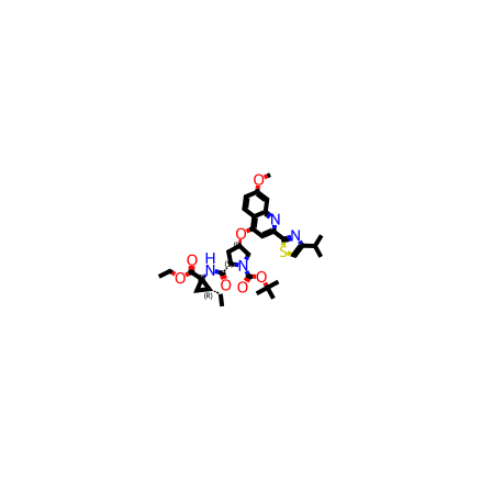 CCOC(=O)[C@@]1(NC(=O)[C@@H]2C[C@@H](Oc3cc(-c4nc(C(C)C)cs4)nc4cc(OC)ccc34)CN2C(=O)OC(C)(C)C)C[C@H]1CC